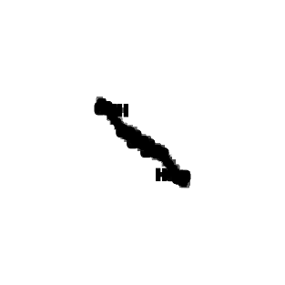 C=CC(=O)OCC(O)CCCCCCOc1ccc(OC(=O)c2ccc(OC(=O)c3ccc(OCCCCCCC(O)COC(=O)C=C)cc3)cc2)cc1